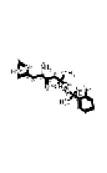 CC(C)c1ccccc1C(C)(C)OOC(C)(C)CC(=O)[C@@H](N)Cc1c[nH]cn1